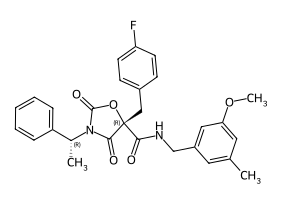 COc1cc(C)cc(CNC(=O)[C@@]2(Cc3ccc(F)cc3)OC(=O)N([C@H](C)c3ccccc3)C2=O)c1